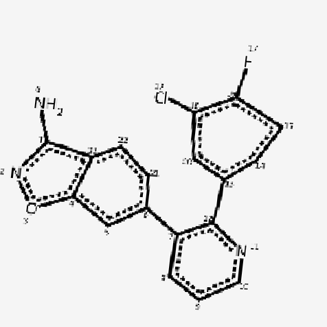 Nc1noc2cc(-c3cccnc3-c3ccc(F)c(Cl)c3)ccc12